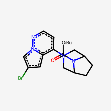 CC(C)COC(=O)N1C2CCC1CN(c1ccnn3cc(Br)cc13)C2